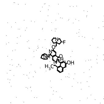 CCc1cccc2cc(O)cc(N(C)/N=C\c3c(C=O)cc(OCC45CCCN4C[C@@H](F)C5)nc3N3CC4CC(C3)N4)c12